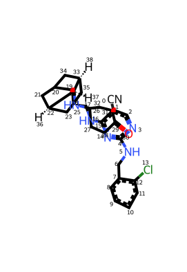 N#Cc1cnc(NCc2ccccc2Cl)nc1NC[C@]12CC3C[C@H](C1)[C@H](NC1CCC(=O)CC1)[C@@H](C3)C2